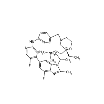 CC[C@@]1(CCN(C)C)CN(Cc2ccc(Nc3ncc(F)c(-c4cc(F)c5nc(C)n(C(C)C)c5c4)n3)nc2)CCO1